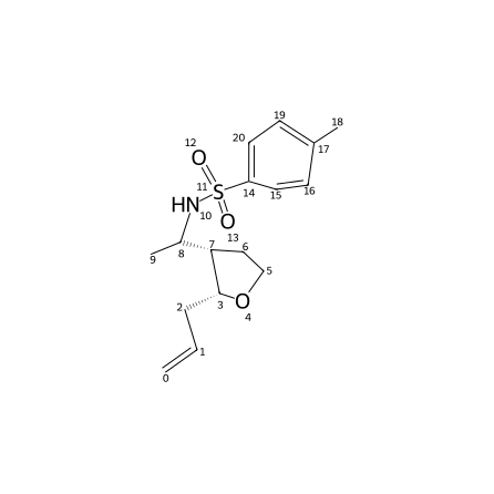 C=CC[C@H]1OCC[C@H]1C(C)NS(=O)(=O)c1ccc(C)cc1